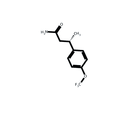 C[C@@H](CC(N)=O)c1ccc(OC(F)(F)F)cc1